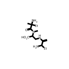 C=C(NCC(C(=O)O)N(C)C(=O)C(C)(N)CC)C(N)CC